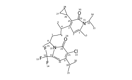 Cc1cc(C(C)CCC(C)n2c(C(F)(F)F)cc(C(C)C)c(Cl)c2=O)c(C2CC2)c(=O)n1C(C)C